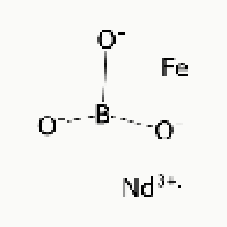 [Fe].[Nd+3].[O-]B([O-])[O-]